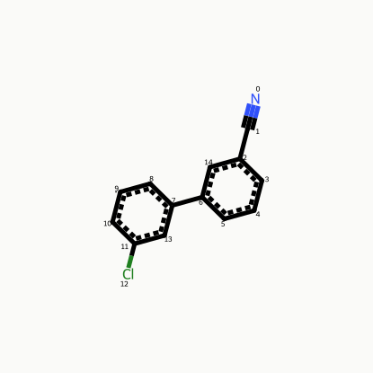 N#Cc1cccc(-c2c[c]cc(Cl)c2)c1